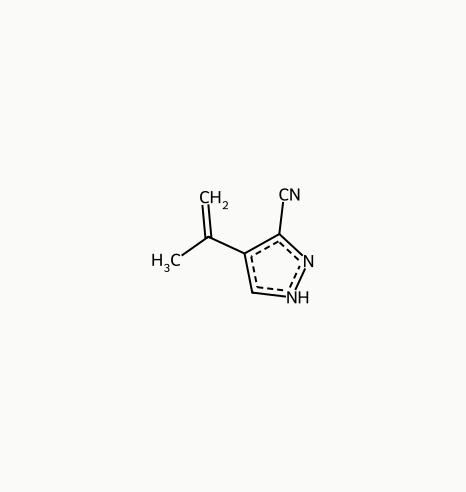 C=C(C)c1c[nH]nc1C#N